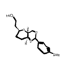 COc1ccc(C2OC[C@H]3O[C@H](CCO)CC[C@@H]3O2)cc1